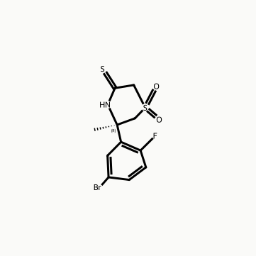 C[C@@]1(c2cc(Br)ccc2F)CS(=O)(=O)CC(=S)N1